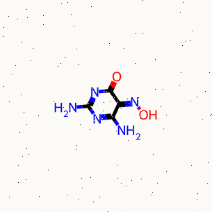 NC1=NC(=O)C(=NO)C(N)=N1